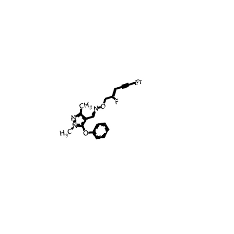 Cc1nn(C)c(Oc2ccccc2)c1C=NOCC(F)=CC#CC(C)C